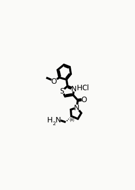 COc1ccccc1-c1nc(C(=O)N2CC[C@H](CN)C2)cs1.Cl